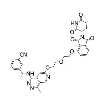 Cc1c(C#N)cccc1[C@@H](C)Nc1nnc(C)c2cnc(OCCOCCOc3cccc4c3C(=O)N(C3CCC(=O)NC3=O)C4=O)cc12